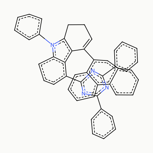 C1=C(c2cc3ccccc3c3ccccc23)c2c(n(-c3ccccc3)c3cccc(-c4nc(-c5ccccc5)nc(-c5ccccc5)n4)c23)CC1